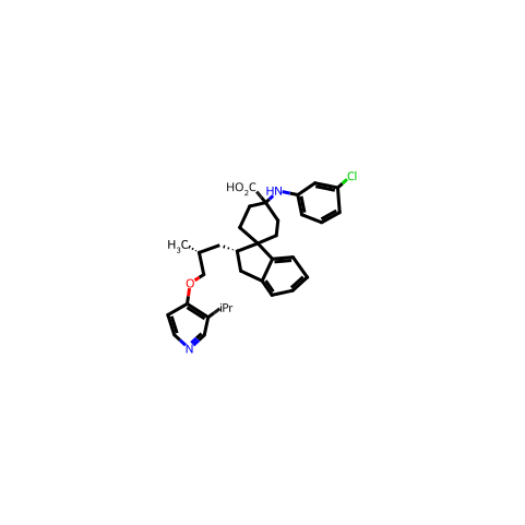 CC(C)c1cnccc1OC[C@H](C)C[C@H]1Cc2ccccc2C12CCC(Nc1cccc(Cl)c1)(C(=O)O)CC2